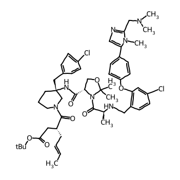 C/C=C/C[C@H](CC(=O)OC(C)(C)C)C(=O)N1CCC[C@](Cc2ccc(Cl)cc2)(NC(=O)[C@@H]2COC(C)(C)N2C(=O)[C@H](C)NCc2ccc(Cl)cc2Oc2ccc(-c3cnc(CN(C)C)n3C)cc2)C1